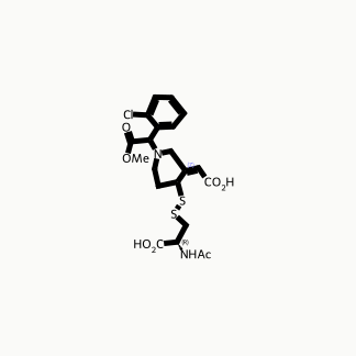 COC(=O)C(c1ccccc1Cl)N1CCC(SSC[C@H](NC(C)=O)C(=O)O)/C(=C\C(=O)O)C1